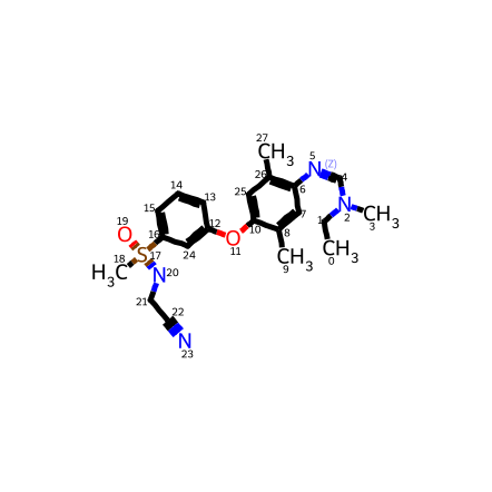 CCN(C)/C=N\c1cc(C)c(Oc2cccc(S(C)(=O)=NCC#N)c2)cc1C